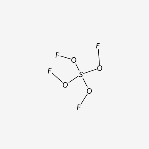 FOS(OF)(OF)OF